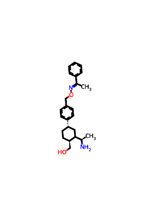 C/C(=N\OCc1ccc([C@H]2CC[C@H](CO)C([C@@H](C)N)C2)cc1)c1ccccc1